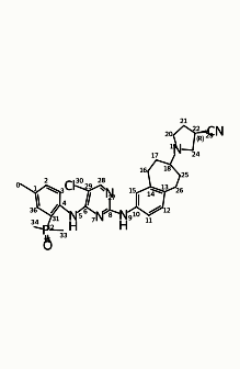 Cc1ccc(Nc2nc(Nc3ccc4c(c3)CCC(N3CC[C@@H](C#N)C3)CC4)ncc2Cl)c(P(C)(C)=O)c1